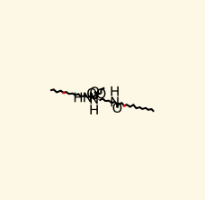 CCCCCCCCCCCCNC(=O)N[C@@H](CCCCCNC(=O)CCCCCCCCCCCC)C(=O)OCC